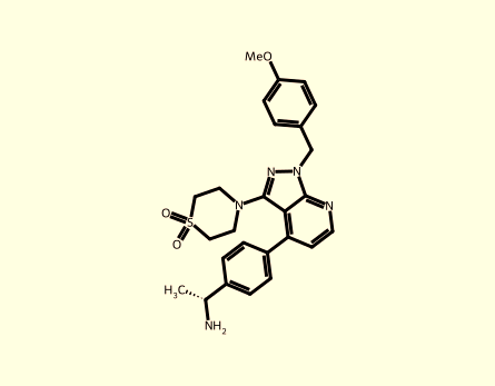 COc1ccc(Cn2nc(N3CCS(=O)(=O)CC3)c3c(-c4ccc([C@@H](C)N)cc4)ccnc32)cc1